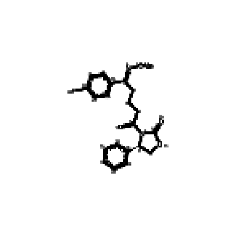 CO/N=C(\CCCC(=O)N1C(=O)OC[C@@H]1c1ccccc1)c1ccc(F)cc1